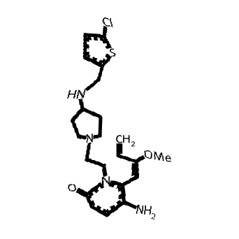 C=C/C(=C\c1c(N)ccc(=O)n1CCN1CCC(NCc2ccc(Cl)s2)CC1)OC